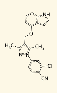 Cc1nn(-c2ccc(C#N)c(Cl)c2)c(C)c1COc1cccc2[nH]ccc12